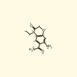 CCN1C(=O)COc2cc(N)c(C(N)=O)cc21